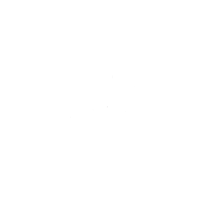 CC#CC(C)(C(=O)O)P(=O)(OCC)OCC